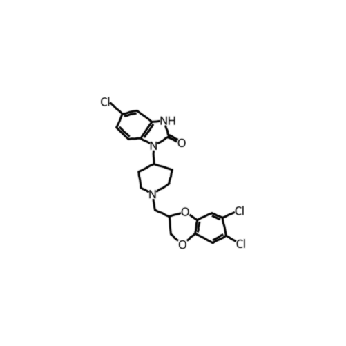 O=c1[nH]c2cc(Cl)ccc2n1C1CCN(CC2COc3cc(Cl)c(Cl)cc3O2)CC1